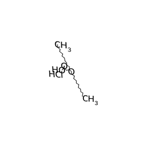 CCCCCCCCCCCCOC(CCCCCCCCCCC)CC(=O)O.Cl